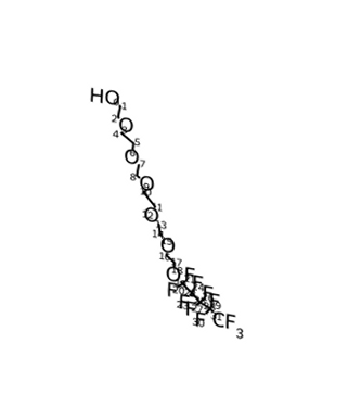 OCCOCCOCCOCCOCCOCCOC(F)(F)C(F)(F)C(F)(F)C(F)(F)C(F)(F)F